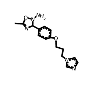 CC1=NC(c2ccc(OCCCn3ccnc3)cc2)N(N)O1